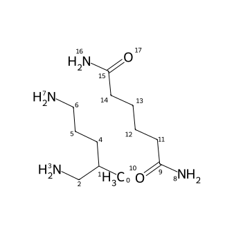 CC(CN)CCCN.NC(=O)CCCCC(N)=O